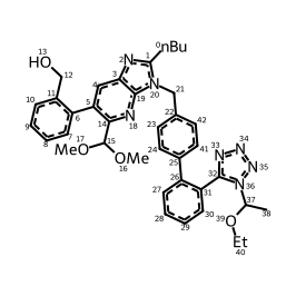 CCCCc1nc2cc(-c3ccccc3CO)c(C(OC)OC)nc2n1Cc1ccc(-c2ccccc2-c2nnnn2C(C)OCC)cc1